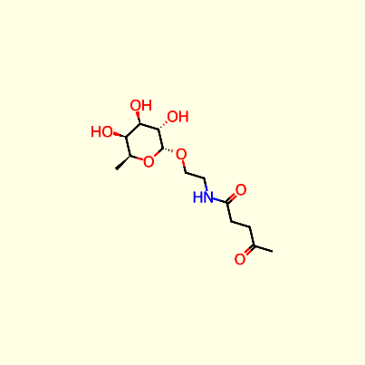 CC(=O)CCC(=O)NCCO[C@@H]1O[C@@H](C)[C@@H](O)[C@@H](O)[C@@H]1O